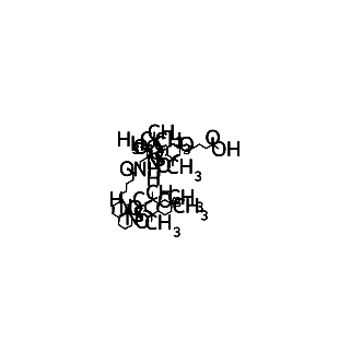 Cc1cc(OCCCC(=O)O)cc(C)c1S(=O)(=O)NC(CNC(=O)CCCCc1ccc2c(n1)N(S(=O)(=O)c1c(C)c(C)c3c(c1C)CCC(C)(C)O3)CCC2)C(=O)OC(C)(C)C